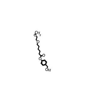 COCCOCCCCCC(=O)Oc1ccc(CO)cc1